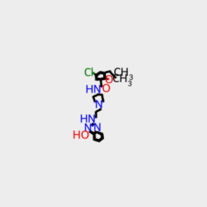 CC1(C)Cc2cc(Cl)cc(C(=O)NC3CCN(CCCNc4nc(O)c5ccccc5n4)CC3)c2O1